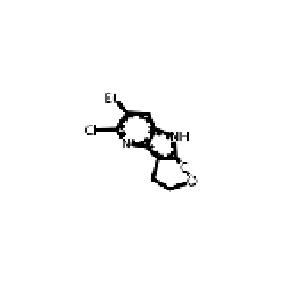 CCc1cc2[nH]c3c(c2nc1Cl)CCOC3